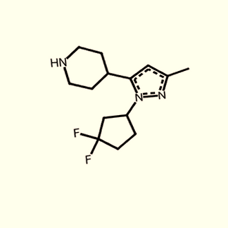 Cc1cc(C2CCNCC2)n(C2CCC(F)(F)C2)n1